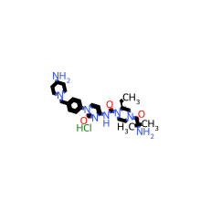 CC[C@H]1CN(C(=O)C(C)(C)N)CCN1C(=O)Nc1ccn(-c2ccc(CN3CCC(N)CC3)cc2)c(=O)n1.Cl